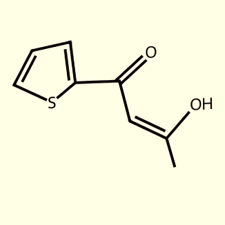 C/C(O)=C/C(=O)c1cccs1